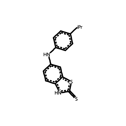 CC(C)c1ccc(Nc2ccc3[nH]c(=S)sc3c2)cc1